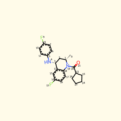 C[C@H]1C[C@@H](Nc2ccc(F)cc2)c2cc(F)ccc2N1C(=O)C1CCCC1